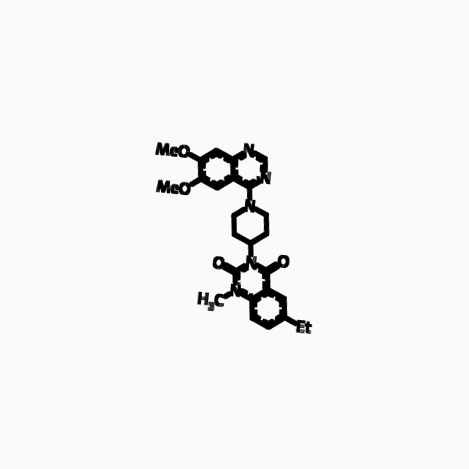 CCc1ccc2c(c1)c(=O)n(C1CCN(c3ncnc4cc(OC)c(OC)cc34)CC1)c(=O)n2C